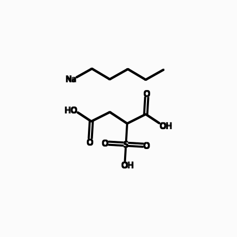 CCCC[CH2][Na].O=C(O)CC(C(=O)O)S(=O)(=O)O